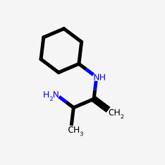 C=C(NC1CCCCC1)C(C)N